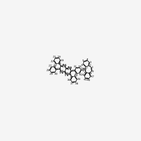 C1=Cc2ccccc2N(c2ccc(-c3nc4nc(-c5ccccc5)c(-c5ccccc5)nc4nc3-c3ccccc3)cc2)c2ccccc21